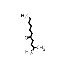 CCCCCCC(=O)CCC(C)C